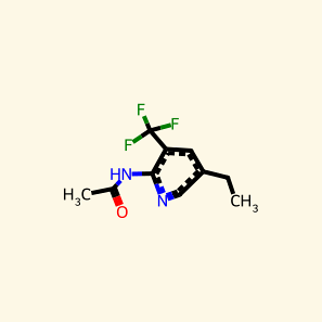 CCc1cnc(NC(C)=O)c(C(F)(F)F)c1